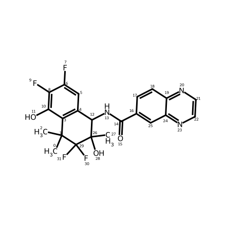 CC1(C)c2c(cc(F)c(F)c2O)C(NC(=O)c2ccc3nccnc3c2)C(C)(O)C1(F)F